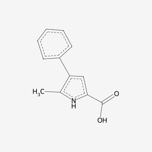 Cc1[nH]c(C(=O)O)cc1-c1ccccc1